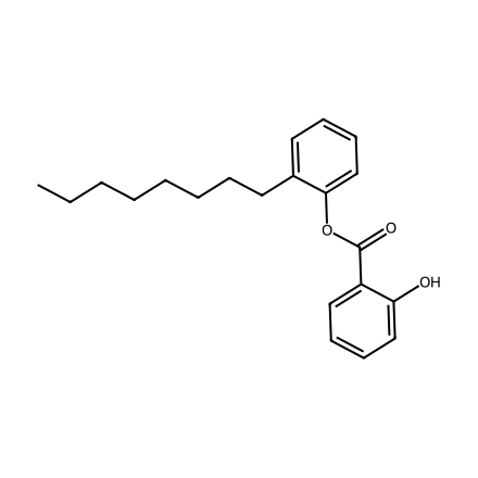 CCCCCCCCc1ccccc1OC(=O)c1ccccc1O